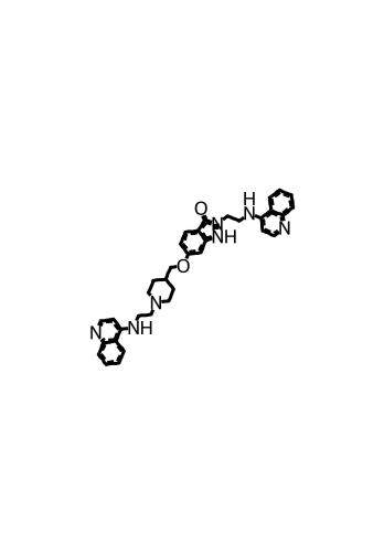 O=c1c2ccc(OCC3CCN(CCNc4ccnc5ccccc45)CC3)cc2[nH]n1CCNc1ccnc2ccccc12